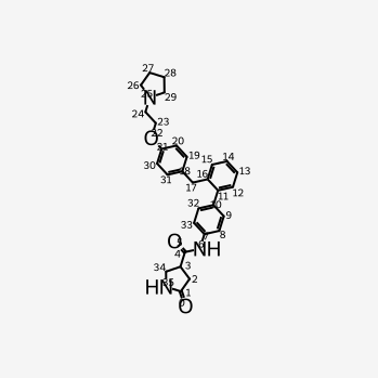 O=C1CC(C(=O)Nc2ccc(-c3ccccc3Cc3ccc(OCCN4CCCC4)cc3)cc2)CN1